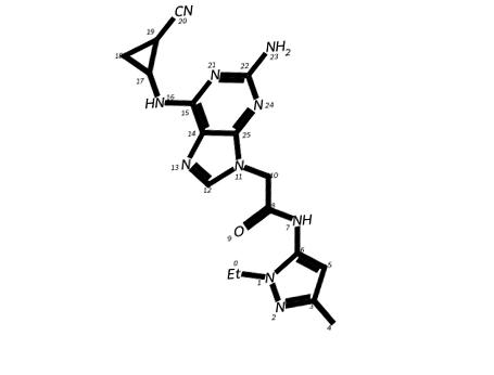 CCn1nc(C)cc1NC(=O)Cn1cnc2c(NC3CC3C#N)nc(N)nc21